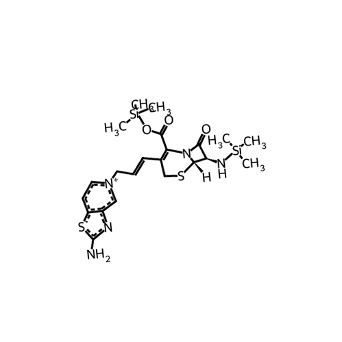 C[Si](C)(C)N[C@@H]1C(=O)N2C(C(=O)O[Si](C)(C)C)=C(C=CC[n+]3ccc4sc(N)nc4c3)CS[C@@H]12